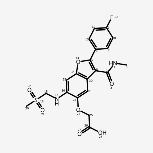 CNC(=O)c1c(-c2ccc(F)cc2)oc2cc(NCS(C)(=O)=O)c(OCC(=O)O)cc12